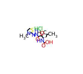 CC(C)C[C@H](NC(=O)O)C(=O)C(=O)N/N=C1\SCCN1C.Cl